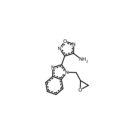 Nc1nonc1-c1nc2ccccc2n1CC1CO1